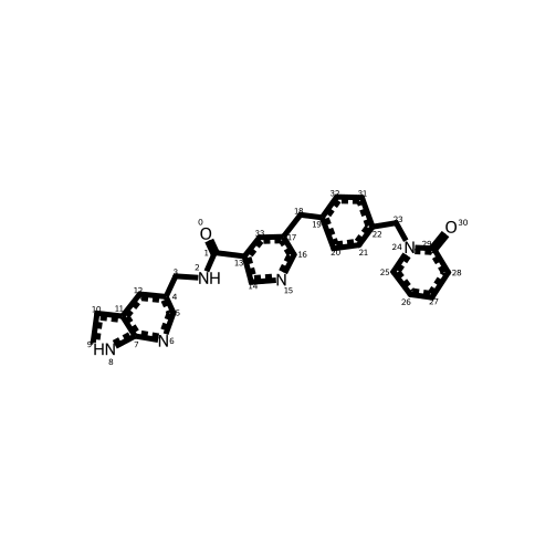 O=C(NCc1cnc2[nH]ccc2c1)c1cncc(Cc2ccc(Cn3ccccc3=O)cc2)c1